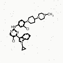 CN1CCN(C2CCN(c3ccc(Nc4ncc(Cl)c(-c5cn(C6CC6)c6ccccc56)n4)cc3Cl)CC2)CC1